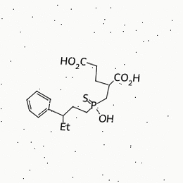 CCC(CCP(O)(=S)CC(CCC(=O)O)C(=O)O)c1ccccc1